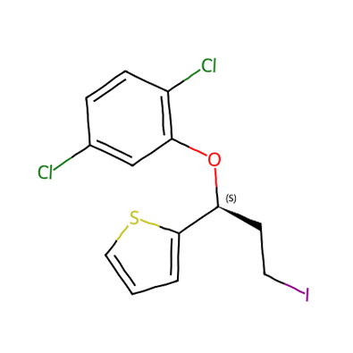 Clc1ccc(Cl)c(O[C@@H](CCI)c2cccs2)c1